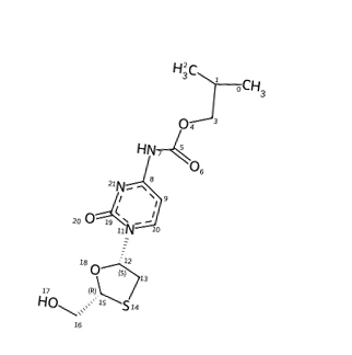 CC(C)COC(=O)Nc1ccn([C@@H]2CS[C@H](CO)O2)c(=O)n1